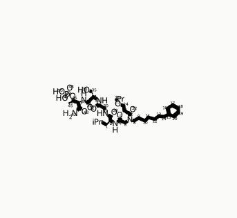 CC(C)C[C@H](NC(=O)CN(CCCCCCCc1ccccc1)C(=O)CCOC(C)C)C(=O)NCC(=O)N[C@@H](CO)C(=O)N[C@H](C(N)=O)[C@@H](C)OP(=O)(O)O